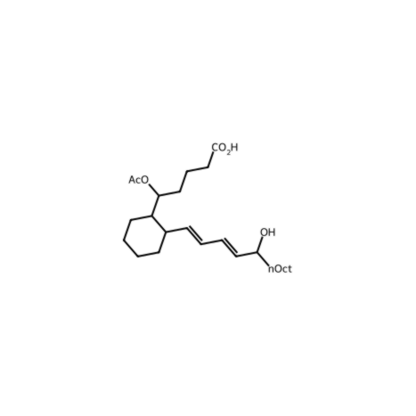 CCCCCCCCC(O)/C=C/C=C/C1CCCCC1C(CCCC(=O)O)OC(C)=O